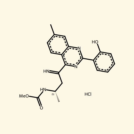 COC(=O)N[C@@H](C)CC(=N)c1nc(-c2ccccc2O)nc2cc(C)ccc12.Cl